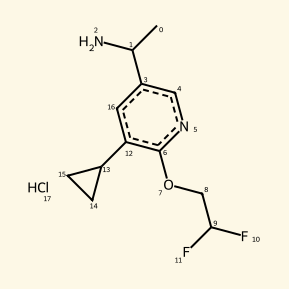 CC(N)c1cnc(OCC(F)F)c(C2CC2)c1.Cl